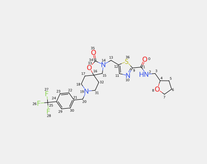 O=C(NCC1CCCO1)c1ncc(CN2CC3(CCN(Cc4ccc(C(F)(F)F)cc4)CC3)OC2=O)s1